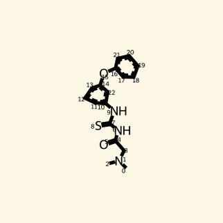 CN(C)CC(=O)NC(=S)Nc1cccc(Oc2ccccc2)c1